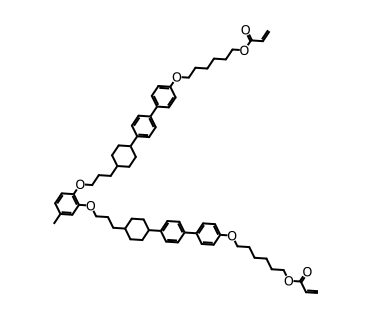 C=CC(=O)OCCCCCCOc1ccc(-c2ccc(C3CCC(CCCOc4ccc(C)cc4OCCCC4CCC(c5ccc(-c6ccc(OCCCCCCOC(=O)C=C)cc6)cc5)CC4)CC3)cc2)cc1